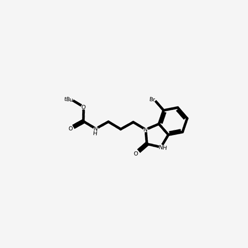 CC(C)(C)OC(=O)NCCCn1c(=O)[nH]c2cccc(Br)c21